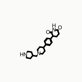 O=C1CCC(c2ccc(C3CCN(CC4CCNCC4)CC3)cc2)C(=O)N1